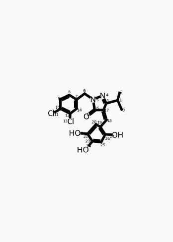 CC(C)C1=NN(Cc2ccc(Cl)c(Cl)c2)C(=O)C1=Cc1cc(O)c(O)cc1O